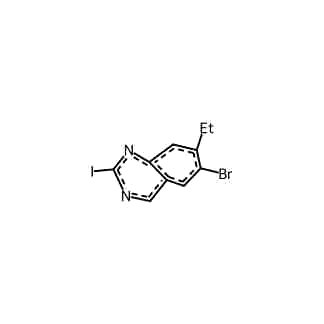 CCc1cc2nc(I)ncc2cc1Br